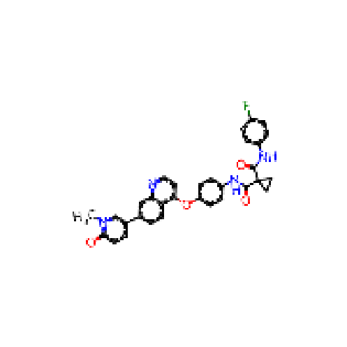 Cn1cc(-c2ccc3c(Oc4ccc(NC(=O)C5(C(=O)Nc6ccc(F)cc6)CC5)cc4)ccnc3c2)ccc1=O